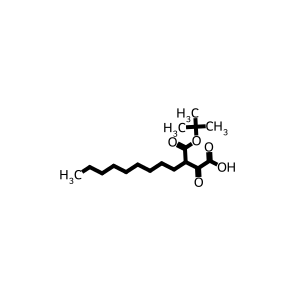 CCCCCCCCCC(C(=O)OC(C)(C)C)C(=O)C(=O)O